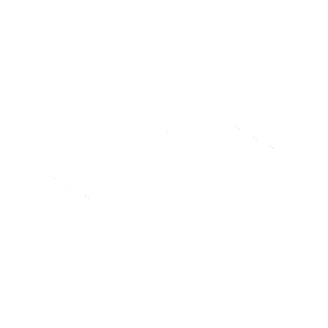 [N-]=[N+]=Nc1ccc(C=Cc2ccc(N=[N+]=[N-])cc2S(=O)(=O)O)c(S(=O)(=O)O)c1